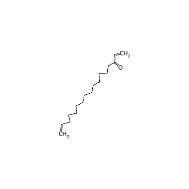 C=CCCCCCCCCCCCCC(=O)C=C